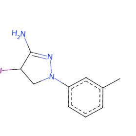 Cc1cccc(N2CC(I)C(N)=N2)c1